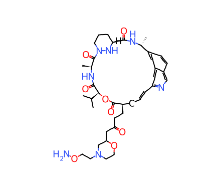 CC(C)[C@@H]1OC(=O)[C@H](CCC(=O)CC2CN(CCON)CCO2)C/C=C/c2cc3cc(ccc3cn2)[C@@H](C)NC(=O)[C@@H]2CCCN(N2)C(=O)[C@H](C)NC1=O